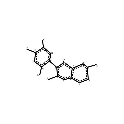 Cc1ccc2cc(C)c(-c3cc(C)c(C)cc3C)nc2c1